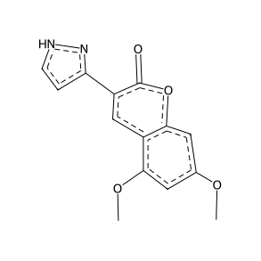 COc1cc(OC)c2cc(-c3cc[nH]n3)c(=O)oc2c1